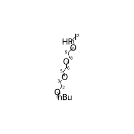 CCCCOCCOCCOCCOPI